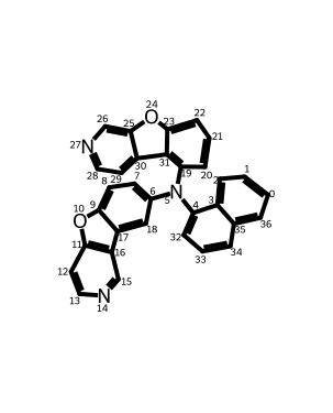 c1ccc2c(N(c3ccc4oc5ccncc5c4c3)c3cccc4oc5cnccc5c34)cccc2c1